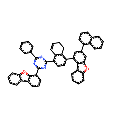 C1=Cc2c(-c3nc(-c4ccccc4)nc(-c4cccc5c4oc4ccccc45)n3)ccc(-c3cc(-c4cccc5ccccc45)cc4oc5ccccc5c34)c2CC1